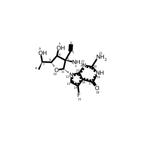 C#C[C@@]1(N)C(O)[C@@H]([C@@H](C)O)O[C@H]1n1cc(F)c2c(=O)[nH]c(N)nc21